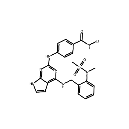 CCNC(=O)c1ccc(Nc2nc(NCc3ccccc3N(C)S(C)(=O)=O)c3cc[nH]c3n2)cc1